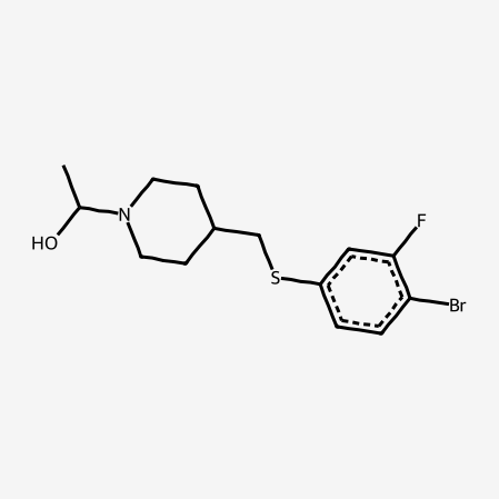 CC(O)N1CCC(CSc2ccc(Br)c(F)c2)CC1